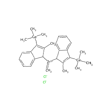 [CH2]=[Zr+2]([CH]1C(C)=[C]([Ge]([CH3])([CH3])[CH3])c2ccccc21)[CH]1C(C)=[C]([Ge]([CH3])([CH3])[CH3])c2ccccc21.[Cl-].[Cl-]